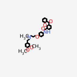 COc1ccc(CCN(C)CCCOc2ccc(NC(=O)c3cccc4c(=O)c5ccccc5oc34)cc2)cc1OC